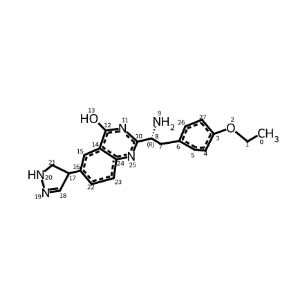 CCOc1ccc(C[C@@H](N)c2nc(O)c3cc(C4C=NNC4)ccc3n2)cc1